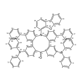 O=c1c2ccc(B(c3ccccc3)c3ccccc3)cc2c2cc(-c3ccccc3)ccc2n(-c2cccc3c2oc2ccccc23)c2ccc(-c3ccccc3)cc2c2cc(B(c3ccccc3)c3ccccc3)ccc12